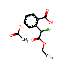 CC(=O)O.CCOC(=O)C(Br)c1ccccc1C(=O)O